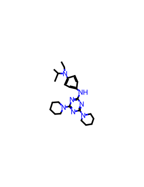 CCN(c1ccc(Nc2nc(N3CCCCC3)nc(N3CCCCC3)n2)cc1)C(C)C